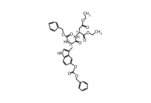 CCOC(=O)C[C@H](NC(=O)[C@H](Cc1c[nH]c2ccc(OC(=O)OCc3ccccc3)cc12)NC(=O)OCc1ccccc1)C(=O)OCC